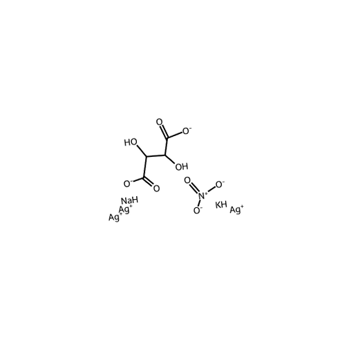 O=C([O-])C(O)C(O)C(=O)[O-].O=[N+]([O-])[O-].[Ag+].[Ag+].[Ag+].[KH].[NaH]